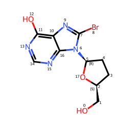 OC[C@@H]1CC[C@H](n2c(Br)nc3c(O)ncnc32)O1